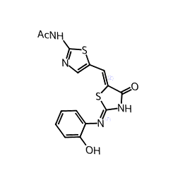 CC(=O)Nc1ncc(/C=C2\S/C(=N\c3ccccc3O)NC2=O)s1